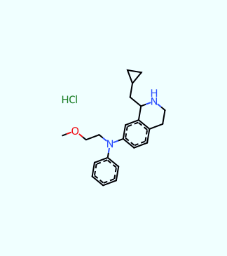 COCCN(c1ccccc1)c1ccc2c(c1)C(CC1CC1)NCC2.Cl